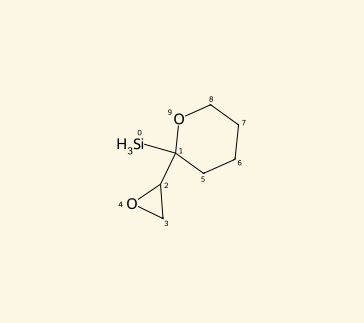 [SiH3]C1(C2CO2)CCCCO1